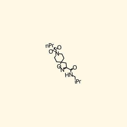 CCCS(=O)(=O)N1CCC2(CC1)CC(C(=O)NCC(C)C)=NO2